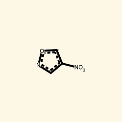 O=[N+]([O-])c1[c]onc1